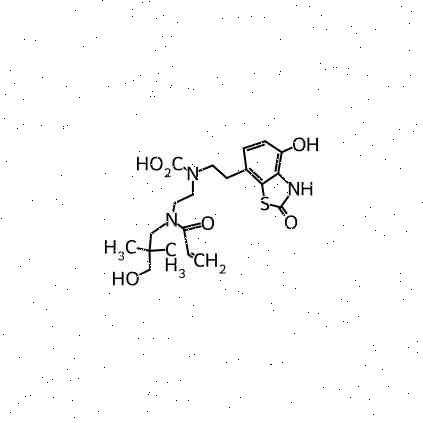 C=CC(=O)N(CCN(CCc1ccc(O)c2[nH]c(=O)sc12)C(=O)O)CC(C)(C)CO